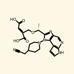 C[C@@H](OC/C(=C\C(=O)O)C(=O)O)c1nc2cnc3[nH]ccc3c2n1N1CCC(CC#N)CC1